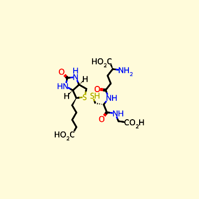 N[C@@H](CCC(=O)N[C@@H](CS)C(=O)NCC(=O)O)C(=O)O.O=C(O)CCCC[C@@H]1SC[C@@H]2NC(=O)N[C@@H]21